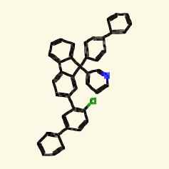 Clc1ccc(-c2ccccc2)cc1-c1ccc2c(c1)C(c1ccc(-c3ccccc3)cc1)(c1cccnc1)c1ccccc1-2